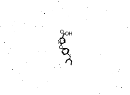 CCC(CC)Sc1ccc(Oc2ccc(C(=O)O)cn2)cc1